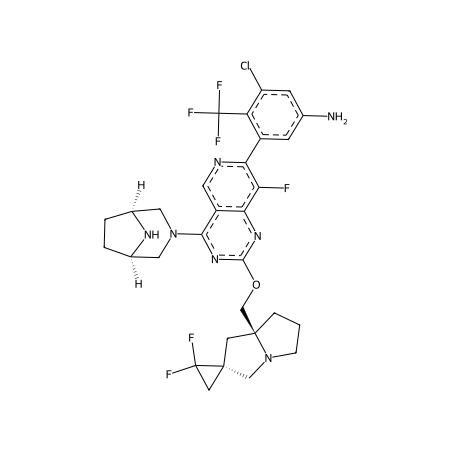 Nc1cc(Cl)c(C(F)(F)F)c(-c2ncc3c(N4C[C@H]5CC[C@@H](C4)N5)nc(OC[C@@]45CCCN4C[C@@]4(CC4(F)F)C5)nc3c2F)c1